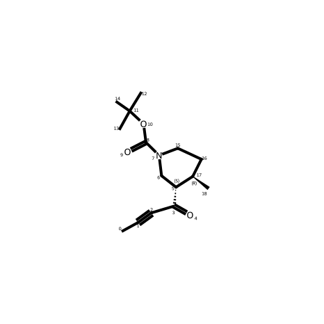 CC#CC(=O)[C@@H]1CN(C(=O)OC(C)(C)C)CC[C@H]1C